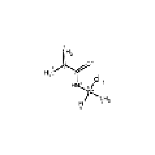 C=C(C)C(=O)N[N+](C)(C)CC